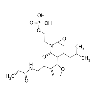 C=CC(=O)NCCC1=CCOC1C1C(=O)N(CCOP(=O)(O)O)C2OC2C1CC(C)C